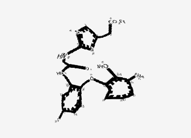 CCOC(=O)Cc1csc(NC(=O)Nc2cc(F)ccc2Oc2cccc(OC)c2OC)n1